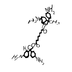 CC(COC(=O)CCCCCCCC(=O)OCC(C)(C1CCC(N)CC1)C1CCC(N)CC1)(C1CCC(N)CC1)C1CCC(N)CC1